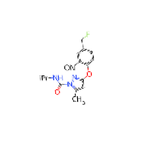 Cc1cc(Oc2ccc(CF)cc2N=O)nn1C(=O)NC(C)C